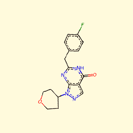 O=c1[nH]c(Cc2ccc(F)cc2)nc2c1cnn2C1CCOCC1